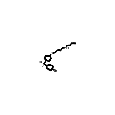 C=CCCNCC=CCOc1ccc([C@](C)(O)c2ccc(Br)cc2)cc1